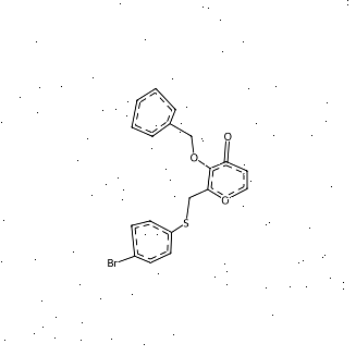 O=c1ccoc(CSc2ccc(Br)cc2)c1OCc1ccccc1